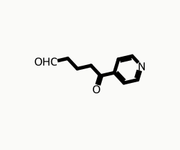 O=CCCCC(=O)c1ccncc1